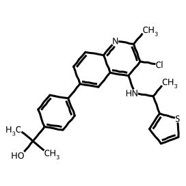 Cc1nc2ccc(-c3ccc(C(C)(C)O)cc3)cc2c(NC(C)c2cccs2)c1Cl